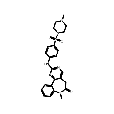 CN1CCN(S(=O)(=O)c2ccc(Nc3ncc4c(n3)-c3ccccc3N(C)C(=O)C4)cc2)CC1